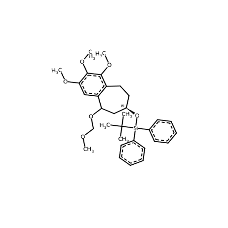 COCOC1C[C@H](O[Si](c2ccccc2)(c2ccccc2)C(C)(C)C)CCc2c1cc(OC)c(OC)c2OC